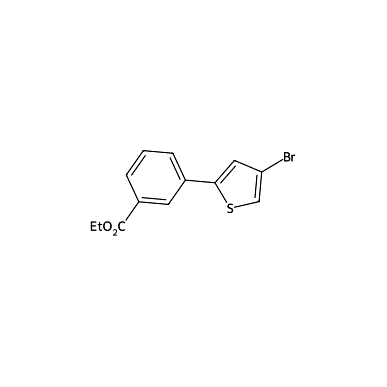 CCOC(=O)c1cccc(-c2cc(Br)cs2)c1